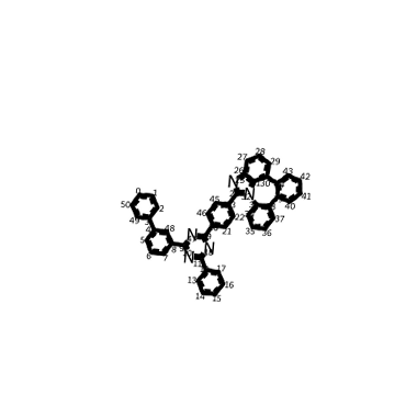 c1ccc(-c2cccc(-c3nc(-c4ccccc4)nc(-c4ccc(-c5nc6cccc7c6n5-c5ccccc5-c5ccccc5-7)cc4)n3)c2)cc1